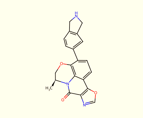 C[C@H]1COc2c(-c3ccc4c(c3)CNC4)ccc3c4ocnc4c(=O)n1c23